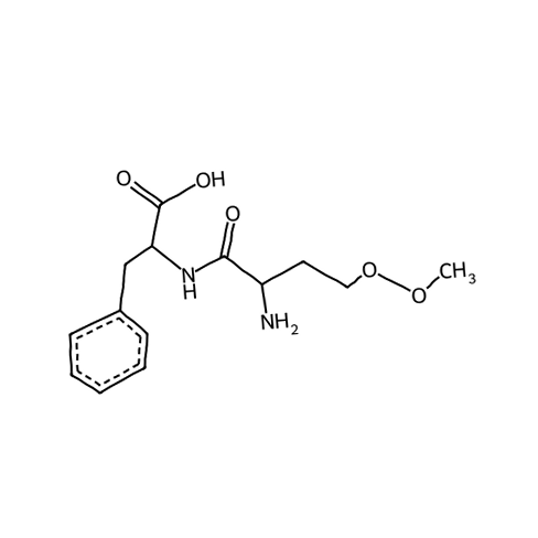 COOCCC(N)C(=O)NC(Cc1ccccc1)C(=O)O